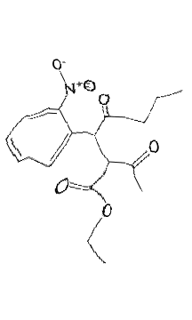 CCCC(=O)C(c1ccccc1[N+](=O)[O-])C(C(C)=O)C(=O)OCC